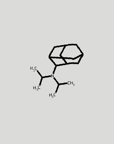 CC(C)N(C(C)C)C1C2CC3CC(C2)CC1C3